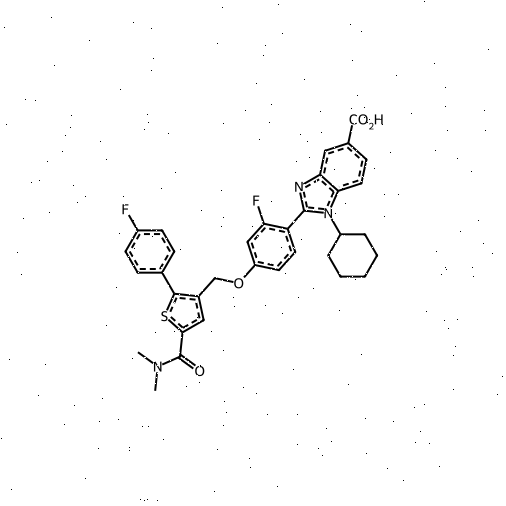 CN(C)C(=O)c1cc(COc2ccc(-c3nc4cc(C(=O)O)ccc4n3C3CCCCC3)c(F)c2)c(-c2ccc(F)cc2)s1